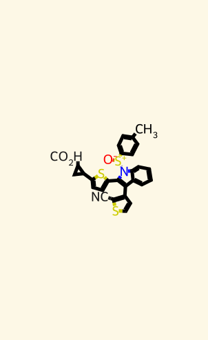 Cc1ccc([S+]([O-])n2c(-c3ccc(C4CC4C(=O)O)s3)c(-c3ccsc3C#N)c3ccccc32)cc1